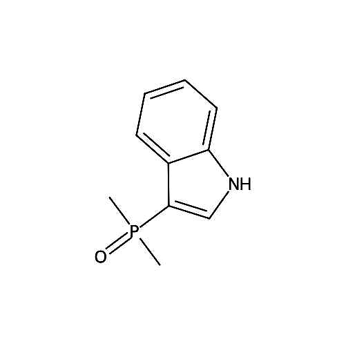 CP(C)(=O)c1c[nH]c2ccccc12